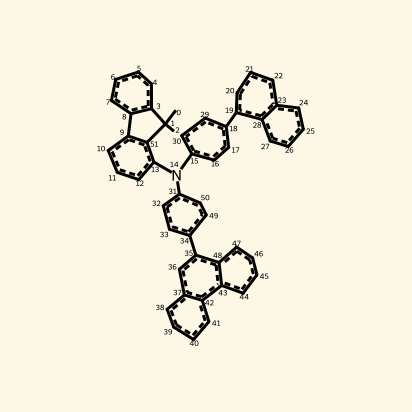 CC1(C)c2ccccc2-c2cccc(N(c3ccc(-c4cccc5ccccc45)cc3)c3ccc(-c4cc5ccccc5c5ccccc45)cc3)c21